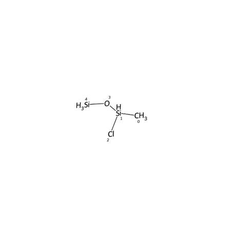 C[SiH](Cl)O[SiH3]